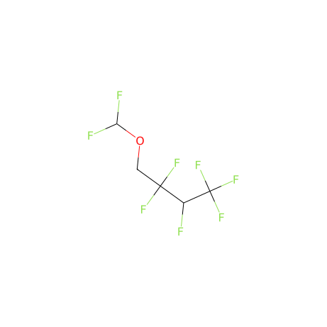 FC(F)OCC(F)(F)C(F)C(F)(F)F